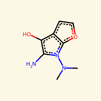 CN(C)n1c(N)c(O)c2ccoc21